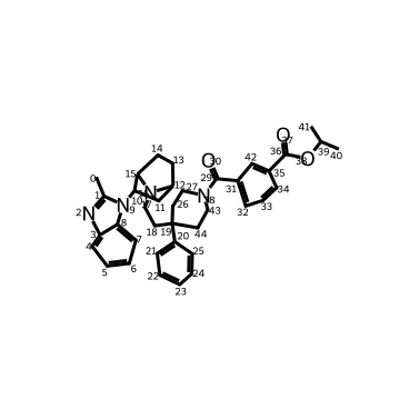 Cc1nc2ccccc2n1C1CC2CCC1N2CCC1(c2ccccc2)CCN(C(=O)c2cccc(C(=O)OC(C)C)c2)CC1